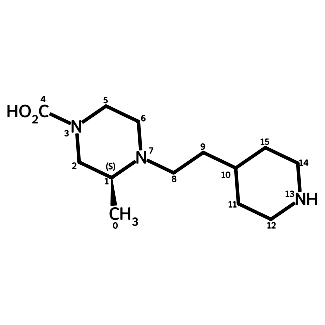 C[C@H]1CN(C(=O)O)CCN1CCC1CCNCC1